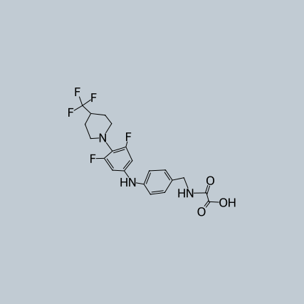 O=C(O)C(=O)NCc1ccc(Nc2cc(F)c(N3CCC(C(F)(F)F)CC3)c(F)c2)cc1